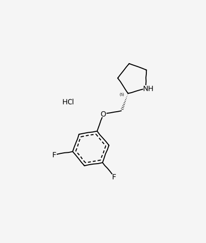 Cl.Fc1cc(F)cc(OC[C@@H]2CCCN2)c1